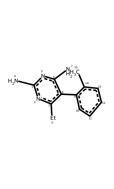 CCc1nc(N)nc(N)c1-c1ccccc1C